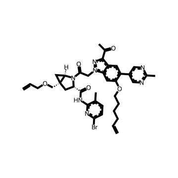 C=CCCCCOc1cc2c(cc1-c1cnc(C)nc1)c(C(C)=O)nn2CC(=O)N1[C@H](C(=O)Nc2nc(Br)ccc2C)C[C@@]2(COCC=C)C[C@@H]12